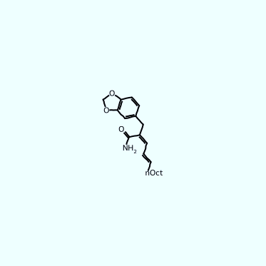 CCCCCCCCC=CC=C(Cc1ccc2c(c1)OCO2)C(N)=O